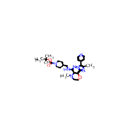 Cc1nc2c3c(c(NCC4CCN(C(=O)OC(C)(C)C)CC4)nn2c1-c1ccncc1)N(C)CCO3